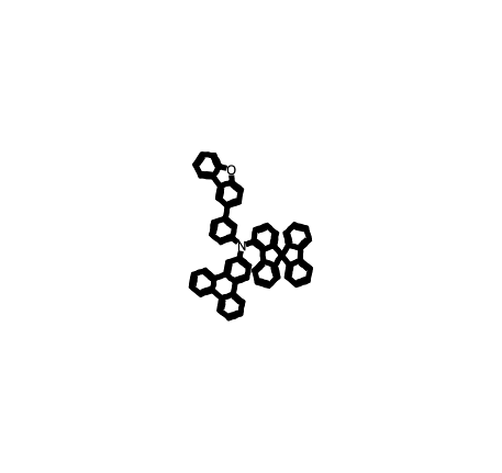 c1cc(-c2ccc3oc4ccccc4c3c2)cc(N(c2ccc3c4ccccc4c4ccccc4c3c2)c2cccc3c2-c2ccccc2C32c3ccccc3-c3ccccc32)c1